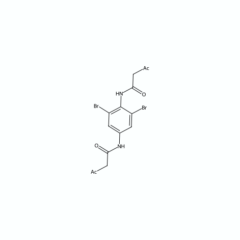 CC(=O)CC(=O)Nc1cc(Br)c(NC(=O)CC(C)=O)c(Br)c1